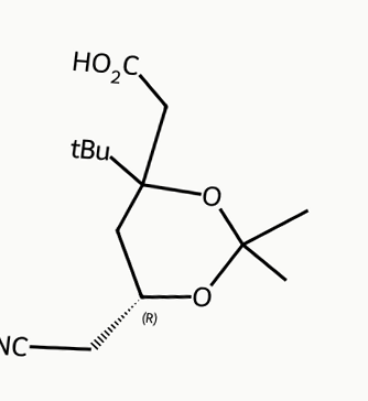 CC1(C)O[C@H](CC#N)CC(CC(=O)O)(C(C)(C)C)O1